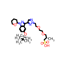 C[C@@H](COCCOCCn1ncc(-c2nn(C3CCCCO3)c3ccc(O[Si](C)(C)C(C)(C)C)cc23)n1)CS(=O)(=O)O